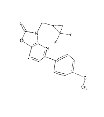 O=c1oc2ccc(-c3ccc(OC(F)(F)F)cc3)nc2n1CC1CC1(F)F